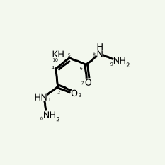 NNC(=O)/C=C\C(=O)NN.[KH]